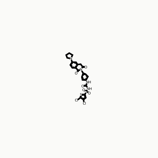 O=C(Nc1ccc(N2C(=O)Cc3cc(N4CCCC4)ccc3C2=O)cc1)NS(=O)(=O)c1cc(Cl)c(Cl)s1